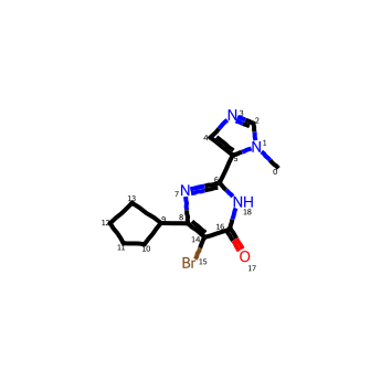 Cn1cncc1-c1nc(C2CCCC2)c(Br)c(=O)[nH]1